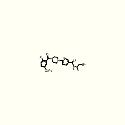 COc1ccc(Br)c(C(=O)N2CCN(c3ccc(C(=O)NC(C)CC(C)C)cn3)CC2)c1